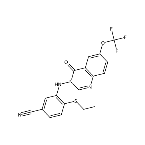 CCSc1ccc(C#N)cc1Nn1cnc2ccc(OC(F)(F)F)cc2c1=O